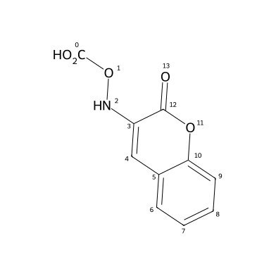 O=C(O)ONc1cc2ccccc2oc1=O